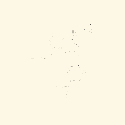 CCS(=O)(=O)c1ccc(Nc2nc(NC3CC3)c3cccc(OC)c3n2)c(C)c1.Cl